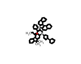 C=C/C=C\C1=C(CN(c2ccc(-c3ccccc3)cc2)c2ccc3c(c2)C(C)(C)c2ccccc2-3)[Si](c2ccc3ccccc3c2)(c2ccc3ccccc3c2)c2ccccc21